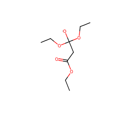 CCOC(=O)CC([O])(OCC)OCC